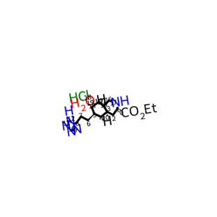 CCOC(=O)[C@@H]1C[C@H]2C[C@@H](CCc3nnn[nH]3)CC[C@H]2CN1.Cl.O